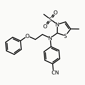 CC1=CN(S(C)(=O)=O)C(N(CCOc2ccccc2)c2ccc(C#N)cc2)S1